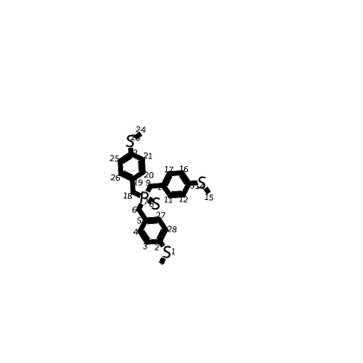 CSc1ccc(CP(=S)(Cc2ccc(SC)cc2)Cc2ccc(SC)cc2)cc1